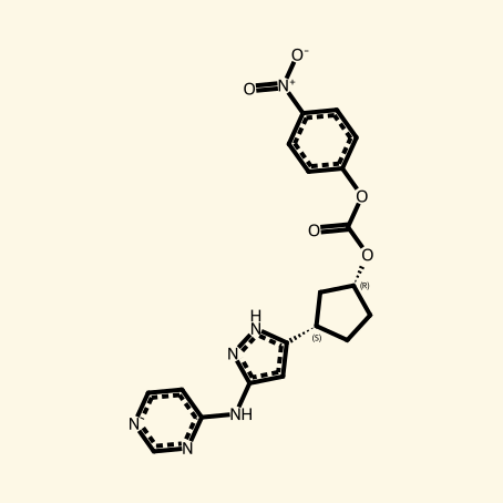 O=C(Oc1ccc([N+](=O)[O-])cc1)O[C@@H]1CC[C@H](c2cc(Nc3ccncn3)n[nH]2)C1